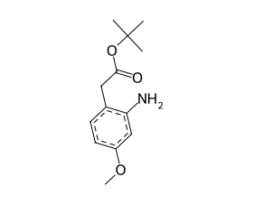 COc1ccc(CC(=O)OC(C)(C)C)c(N)c1